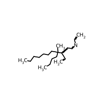 C=C/N=C\C=C(/C=C)C(C)(CCCC)CCCCCCC